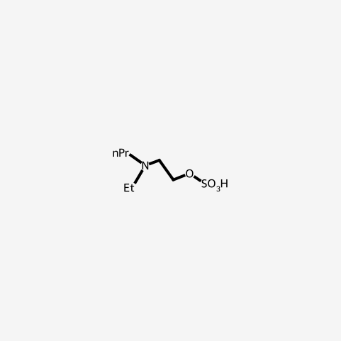 CCCN(CC)CCOS(=O)(=O)O